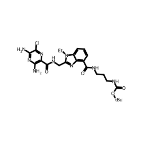 CCn1c(CNC(=O)c2nc(Cl)c(N)nc2N)nc2c(C(=O)NCCCNC(=O)OC(C)(C)C)cccc21